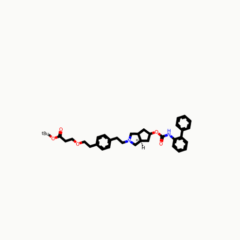 CC(C)(C)OC(=O)CCOCCc1ccc(CCN2CC3CC(OC(=O)Nc4ccccc4-c4ccccc4)C[C@H]3C2)cc1